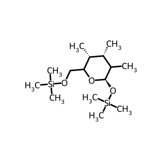 CC1[C@@H](O[Si](C)(C)C)OC(CO[Si](C)(C)C)[C@H](C)[C@@H]1C